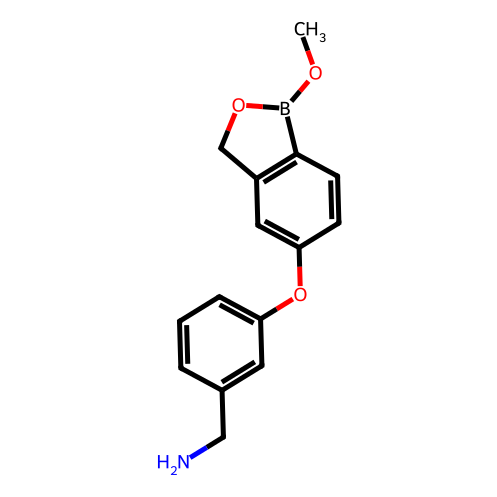 COB1OCc2cc(Oc3cccc(CN)c3)ccc21